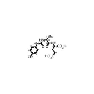 CC(C)(C)[C@H](NC(=O)Nc1ccc(Cl)cc1)C(=O)N[C@H](CCC(=O)O)C(=O)O